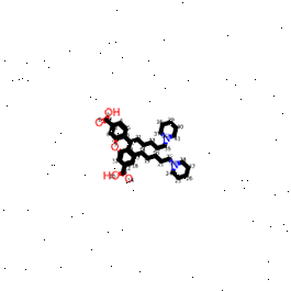 O=C(O)c1ccc2c(c1)Oc1cc(C(=O)O)cc(CCCCCN3CCCCC3)c1C2CCCCCN1CCCCC1